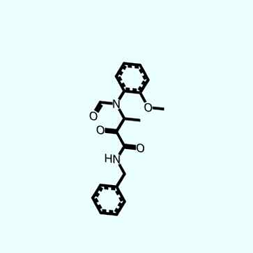 COc1ccccc1N(C=O)C(C)C(=O)C(=O)NCc1ccccc1